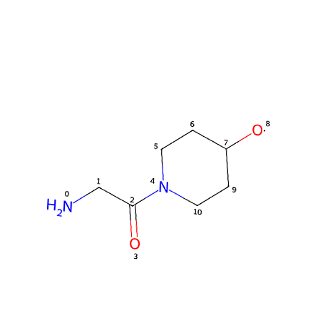 NCC(=O)N1CCC([O])CC1